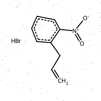 Br.C=CCc1ccccc1[N+](=O)[O-]